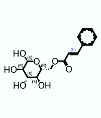 O=C(/C=C/c1ccccc1)OC[C@H]1O[C@H](O)[C@H](O)[C@@H](O)[C@@H]1O